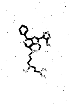 CCn1c(-c2nonc2N)nc2c(-c3ccccc3)ncc(OCCCN(C)CCN(C)C)c21